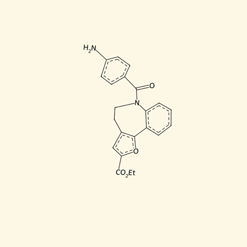 CCOC(=O)c1cc2c(o1)-c1ccccc1N(C(=O)c1ccc(N)cc1)CC2